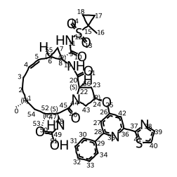 C[C@@H]1CCC=C[C@@H]2C[C@@]2(C(=O)NS(=O)(=O)C2(C)CC2)NC(=O)[C@@H]2C[C@@H](Oc3cc(-c4ccccc4)nc(-c4nccs4)c3)CN2C(=O)[C@@H](NC(=O)O)[C@H](C)C1